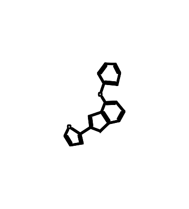 [CH]1C(c2ccco2)=Cc2c1cccc2Oc1ccccc1